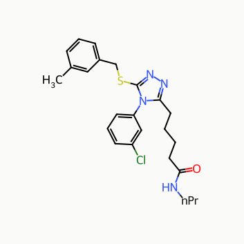 CCCNC(=O)CCCCc1nnc(SCc2cccc(C)c2)n1-c1cccc(Cl)c1